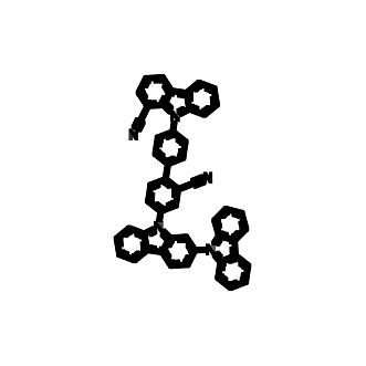 N#Cc1cc(-n2c3ccccc3c3ccc(-n4c5ccccc5c5ccccc54)cc32)ccc1-c1ccc(-n2c3ccccc3c3cccc(C#N)c32)cc1